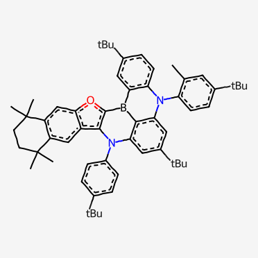 Cc1cc(C(C)(C)C)ccc1N1c2ccc(C(C)(C)C)cc2B2c3oc4cc5c(cc4c3N(c3ccc(C(C)(C)C)cc3)c3cc(C(C)(C)C)cc1c32)C(C)(C)CCC5(C)C